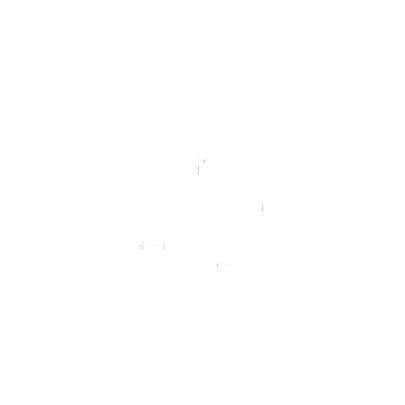 CCCCCC(=C(O[SiH](C)C)C(=O)O)C(C)(C)C